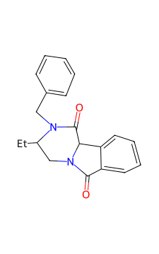 CCC1CN2C(=O)c3ccccc3C2C(=O)N1Cc1ccccc1